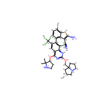 CC1(C)NCCC1Oc1nc(OCC23CCCN2C[C@H](F)C3)nc2c(F)c(-c3ccc(F)c4sc(N)c(C#N)c34)c(C(F)(F)F)cc12